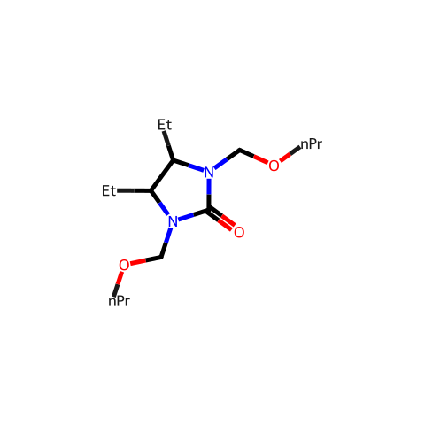 CCCOCN1C(=O)N(COCCC)C(CC)C1CC